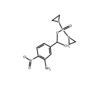 CC(OP(=O)(N1CC1)N1CC1)c1ccc([N+](=O)[O-])c(N)c1